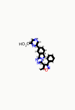 Cc1onc(-c2ccccc2)c1-c1nnc2n1Cc1ccc(-c3cncc(C(=O)O)n3)cc1-2